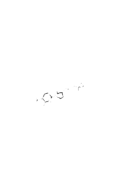 CC1(COCc2ccn(-c3ccc(C(=O)O)c(Cl)n3)n2)CC1